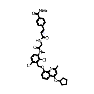 CNC(=O)c1ccc(/C=C/C(=O)NCC(=O)N(C)c2ccc(Cl)c(COc3cccc4c(OC5CCCC5)cc(C)nc34)c2Cl)cc1